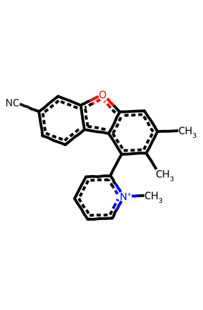 Cc1cc2oc3cc(C#N)ccc3c2c(-c2cccc[n+]2C)c1C